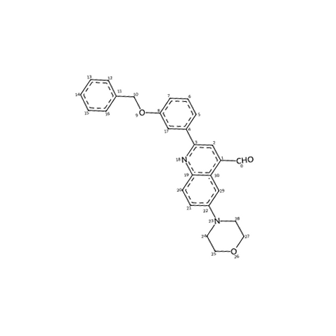 O=Cc1cc(-c2cccc(OCc3ccccc3)c2)nc2ccc(N3CCOCC3)cc12